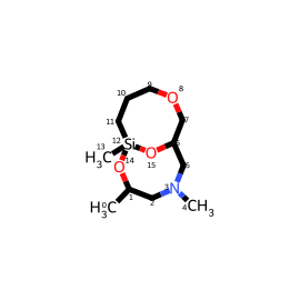 CC1CN(C)CC2COCCC[Si](C)(O1)O2